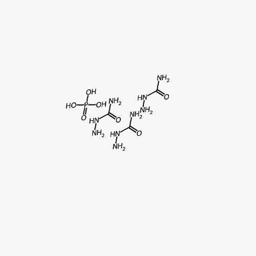 NNC(N)=O.NNC(N)=O.NNC(N)=O.O=P(O)(O)O